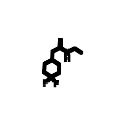 C=C(CC1CCC(F)(F)CC1)NCC